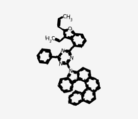 C=Cc1c(/C=C\C)oc2cccc(-c3nc(-c4ccccc4)nc(-n4c5ccccc5c5c6c(ccc7ccc8ccccc8c76)ccc54)n3)c12